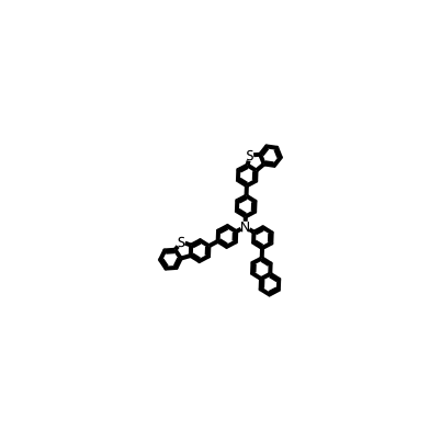 c1cc(-c2ccc3ccccc3c2)cc(N(c2ccc(-c3ccc4c(c3)sc3ccccc34)cc2)c2ccc(-c3ccc4sc5ccccc5c4c3)cc2)c1